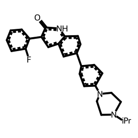 CC(C)N1CCN(c2ccc(-c3ccc4[nH]c(=O)c(-c5ccccc5F)cc4c3)cc2)CC1